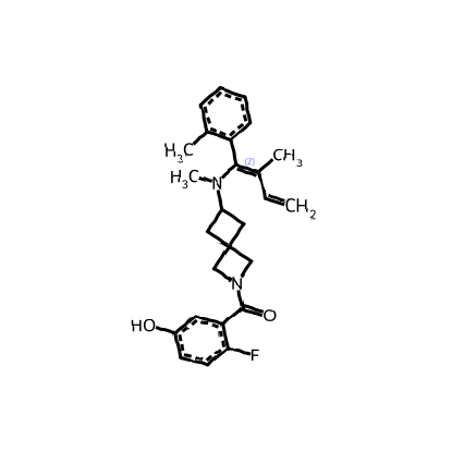 C=C/C(C)=C(/c1ccccc1C)N(C)C1CC2(C1)CN(C(=O)c1cc(O)ccc1F)C2